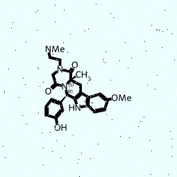 CNCCN1CC(=O)N2[C@H](c3cccc(O)c3)c3[nH]c4ccc(OC)cc4c3C[C@@]2(C)C1=O